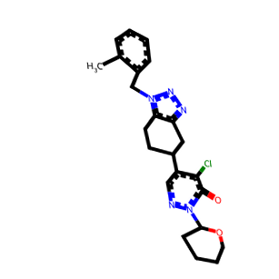 Cc1ccccc1Cn1nnc2c1CCC(c1cnn(C3CCCCO3)c(=O)c1Cl)C2